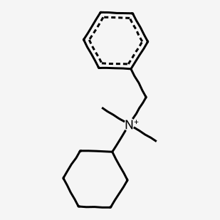 C[N+](C)(Cc1ccccc1)C1CCCCC1